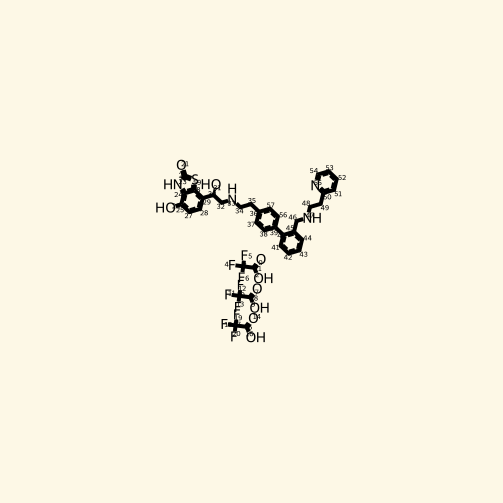 O=C(O)C(F)(F)F.O=C(O)C(F)(F)F.O=C(O)C(F)(F)F.O=c1[nH]c2c(O)ccc([C@@H](O)CNCCc3ccc(-c4ccccc4CNCCc4ccccn4)cc3)c2s1